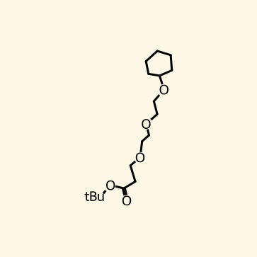 CC(C)(C)OC(=O)CCOCCOCCOC1CCCCC1